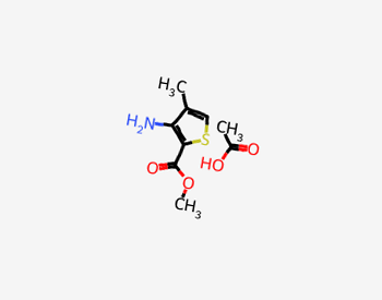 CC(=O)O.COC(=O)c1scc(C)c1N